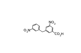 O=C(O)c1cc(Cc2cccc([N+](=O)[O-])c2)cc([N+](=O)[O-])c1